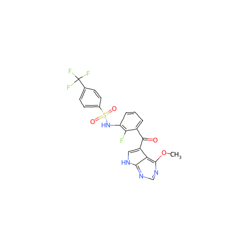 COc1ncnc2[nH]cc(C(=O)c3cccc(NS(=O)(=O)c4ccc(C(F)(F)F)cc4)c3F)c12